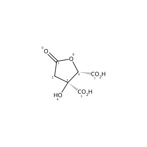 O=C1C[C@@](O)(C(=O)O)[C@@H](C(=O)O)O1